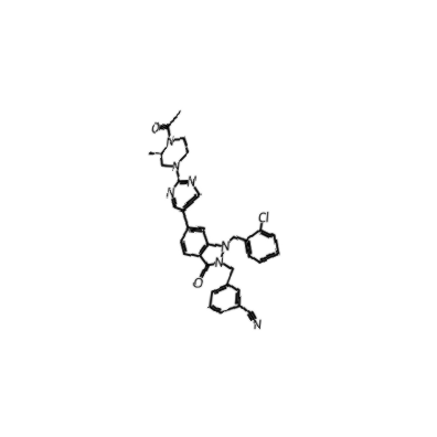 CC(=O)N1CCN(c2ncc(-c3ccc4c(=O)n(Cc5cccc(C#N)c5)n(Cc5ccccc5Cl)c4c3)cn2)C[C@H]1C